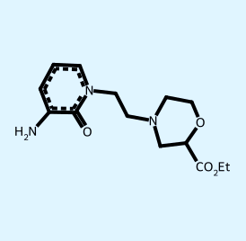 CCOC(=O)C1CN(CCn2cccc(N)c2=O)CCO1